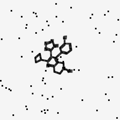 CC(=O)N1CCc2nc(C3CCC3)c(-c3nnn[nH]3)c(-c3cccc(Cl)c3)c2C1